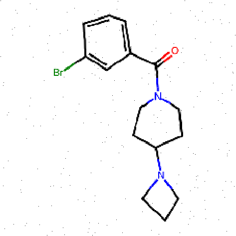 O=C(c1cccc(Br)c1)N1CCC(N2CCC2)CC1